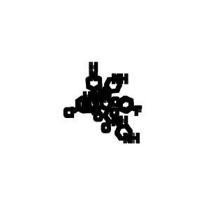 N#Cc1cccc(OC(C(=O)NC2CCNCC2)C(Oc2cccc(F)c2)(C(=O)NC2CCNCC2)C(Oc2cccc(Cl)c2)C(=O)NC2CCNCC2)c1